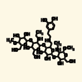 CCNC1C(OC)OC(CO)C(O)C1OC1OC(CNCCc2ccc(O)c(O)c2)C(OC2OC(CO)C(O)C(OC3OC(CO)C(OC)C(O)C3O)C2NCC)C(O)C1O